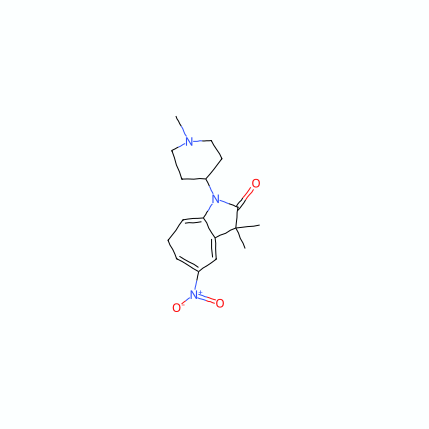 CN1CCC(N2C(=O)C(C)(C)C3=CC([N+](=O)[O-])=CCC=C32)CC1